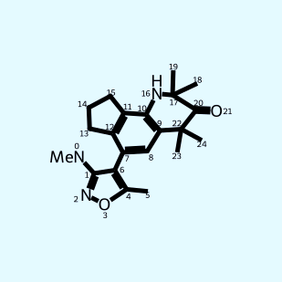 CNc1noc(C)c1-c1cc2c(c3c1CCC3)NC(C)(C)C(=O)C2(C)C